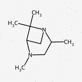 CC1CN(C)C2CN1C2(C)C